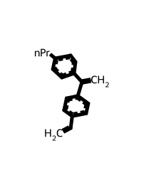 C=Cc1ccc(C(=C)c2ccc(CCC)cc2)cc1